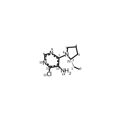 CC[C@H]1CCCN1c1ncnc(Cl)c1N